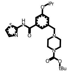 CC(C)Oc1cc(CN2CCN(C(=O)OC(C)(C)C)CC2)cc(C(=O)Nc2nccs2)c1